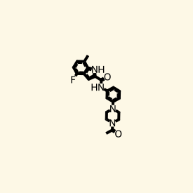 CC(=O)N1CCN(c2cccc(NC(=O)c3cc4c(F)ccc(C)c4[nH]3)c2)CC1